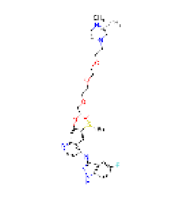 C[C@@H]1CN(CCOCCOCCOCCOc2cc3nccc(Nc4n[nH]c5ccc(F)cc45)c3cc2[S+]([O-])C(C)(C)C)CCN1C